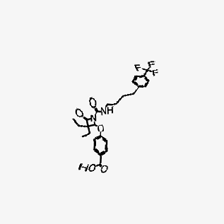 CCC1(CC)C(=O)N(C(=O)NCCCCc2ccc(C(F)(F)F)cc2)C1Oc1ccc(C(=O)O)cc1